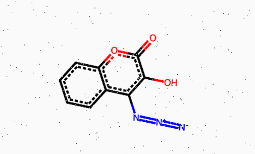 [N-]=[N+]=Nc1c(O)c(=O)oc2ccccc12